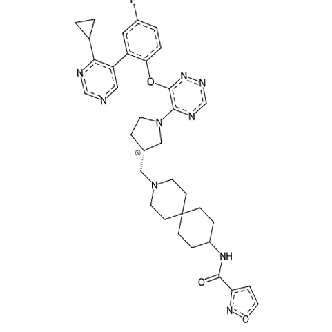 O=C(NC1CCC2(CC1)CCN(C[C@@H]1CCN(c3ncnnc3Oc3ccc(F)cc3-c3cncnc3C3CC3)C1)CC2)c1ccon1